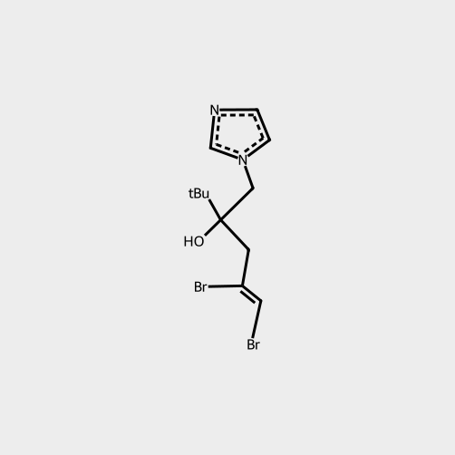 CC(C)(C)C(O)(CC(Br)=CBr)Cn1ccnc1